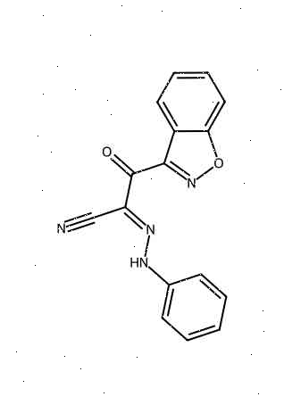 N#CC(=NNc1ccccc1)C(=O)c1noc2ccccc12